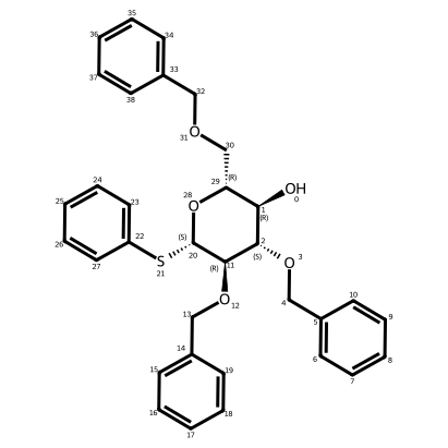 O[C@H]1[C@H](OCc2ccccc2)[C@@H](OCc2ccccc2)[C@H](Sc2ccccc2)O[C@@H]1COCc1ccccc1